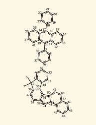 CC1(C)c2cc(-c3ccc(-c4c5ccccc5c(-c5ccccc5)c5ccccc45)cc3)ccc2-c2c1ccc1sc3c4ccccc4ccc3c21